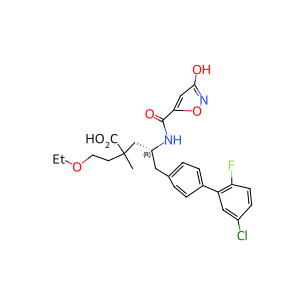 CCOCCC(C)(C[C@@H](Cc1ccc(-c2cc(Cl)ccc2F)cc1)NC(=O)c1cc(O)no1)C(=O)O